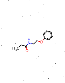 CCC(=O)NCCOc1ccccc1